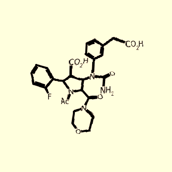 CC(=O)N1C(C(=O)N2CCOCC2)C(N(C(N)=O)c2cccc(CC(=O)O)c2)C(C(=O)O)C1c1ccccc1F